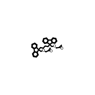 c1ccc2c(c1)-c1ccccc1C2(CCCCC1(COCC2CO2)c2ccccc2-c2ccccc21)COCC1CO1